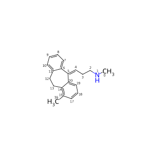 CNCCC=C1c2ccccc2CCc2c(C)cccc21